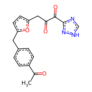 CC(=O)c1ccc(Cc2ccc(CC(=O)C(=O)c3nc[nH]n3)o2)cc1